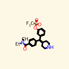 CCN(C)C(=O)c1ccc(C(=C2CCNCC2)c2cccc(OS(=O)(=O)C(F)(F)F)c2)cc1